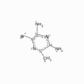 Cc1nc(Br)c(N)nc1N